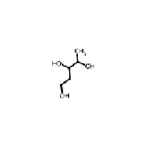 CC(O)C(O)CCO